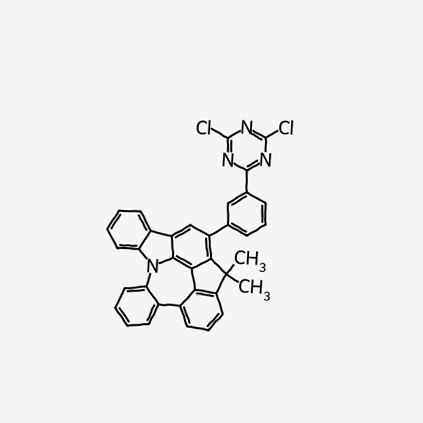 CC1(C)c2cccc3c2-c2c1c(-c1cccc(-c4nc(Cl)nc(Cl)n4)c1)cc1c4ccccc4n(c21)-c1ccccc1-3